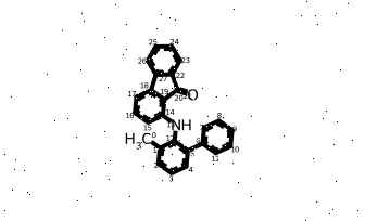 Cc1cccc(-c2ccccc2)c1Nc1cccc2c1C(=O)c1ccccc1-2